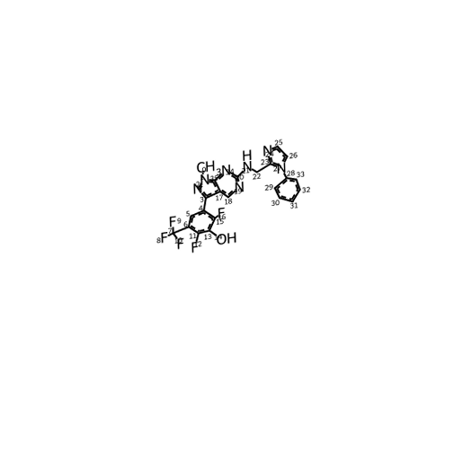 Cn1nc(-c2cc(C(F)(F)F)c(F)c(O)c2F)c2cnc(NCc3nccn3-c3ccccc3)nc21